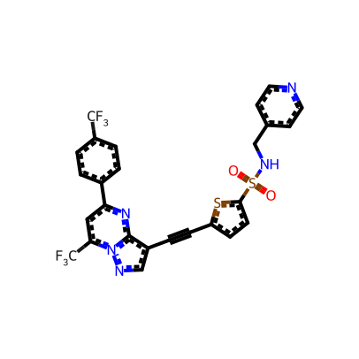 O=S(=O)(NCc1ccncc1)c1ccc(C#Cc2cnn3c(C(F)(F)F)cc(-c4ccc(C(F)(F)F)cc4)nc23)s1